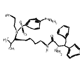 CC(C)CCN(C(CCCCNC(=O)[C@@H](N)C(c1ccccc1)c1ccccc1)C(C)O)S(=O)(=O)c1ccc(N)cc1